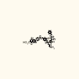 CCn1cc(C(=O)O)c(=O)c2cc(F)c(N3CCN(C(=O)OCc4ccc(NC(=O)[C@H](CCCN)N5C=C([C@@H](NC(=O)OCc6ccccc6)C(C)C)NN5)cc4)CC3)cc21